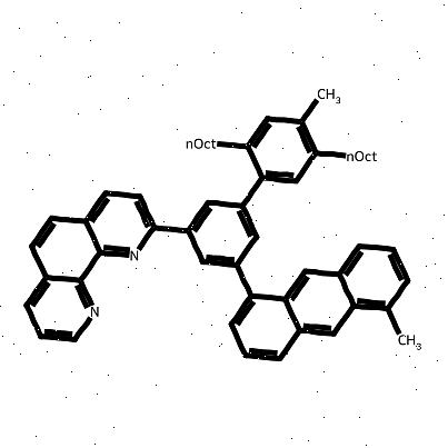 CCCCCCCCc1cc(-c2cc(-c3ccc4ccc5cccnc5c4n3)cc(-c3cccc4cc5c(C)cccc5cc34)c2)c(CCCCCCCC)cc1C